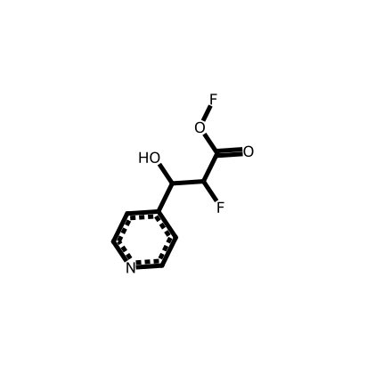 O=C(OF)C(F)C(O)c1ccncc1